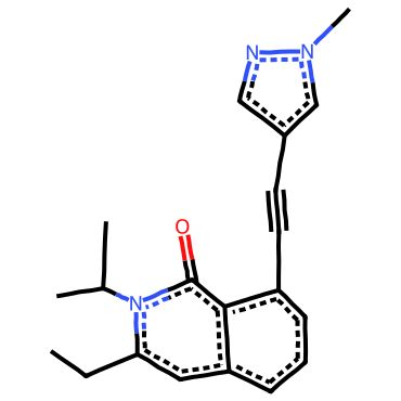 CCc1cc2cccc(C#Cc3cnn(C)c3)c2c(=O)n1C(C)C